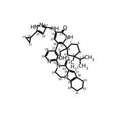 CC(C)C1(C)CCCC(CO)(c2[nH]c(=O)c(Nc3cc(C4CC4)[nH]n3)cc2-c2ccnc(N3CCn4c(cc5c4CCCC5)C3=O)c2)C1